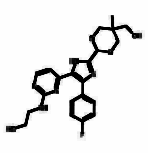 CC1(CO)COC(c2nc(-c3ccc(F)cc3)c(-c3ccnc(NCCO)n3)[nH]2)OC1